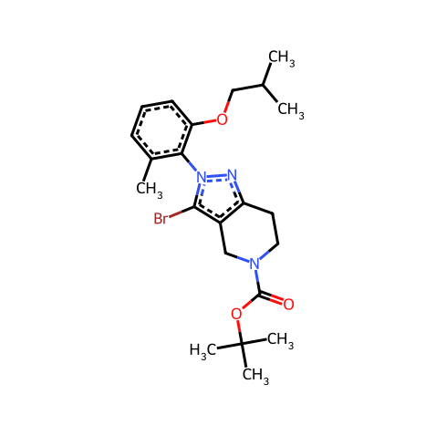 Cc1cccc(OCC(C)C)c1-n1nc2c(c1Br)CN(C(=O)OC(C)(C)C)CC2